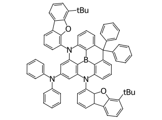 CC(C)(C)c1cccc2c1OC1C(N3c4cc(N(c5ccccc5)c5ccccc5)cc5c4B4c6c3cccc6C(c3ccccc3)(c3ccccc3)c3cccc(c34)N5c3cccc4c3oc3c(C(C)(C)C)cccc34)=CC=CC21